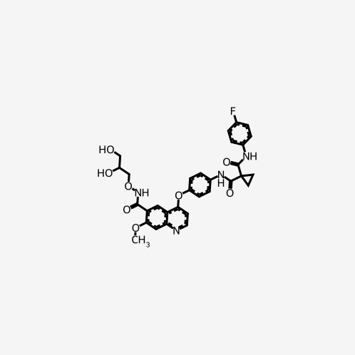 COc1cc2nccc(Oc3ccc(NC(=O)C4(C(=O)Nc5ccc(F)cc5)CC4)cc3)c2cc1C(=O)NOCC(O)CO